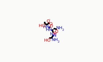 COC(=O)C(NC(=O)N[C@@H](CC(N)=O)c1nc([C@@H](N)CO)no1)C(C)O